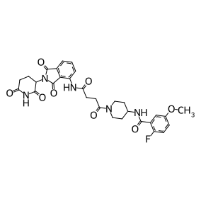 COc1ccc(F)c(C(=O)NC2CCN(C(=O)CCC(=O)Nc3cccc4c3C(=O)N(C3CCC(=O)NC3=O)C4=O)CC2)c1